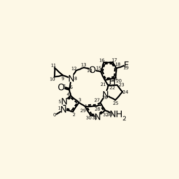 Cn1cc2c(n1)C(=O)N(C1CC1)CCOc1ccc(F)cc1[C@H]1CCCN1c1cc-2cnc1N